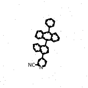 N#Cc1cc(-c2ccc(-c3c4ccccc4c(-c4ccccc4)c4ccccc34)c3ccccc23)ccn1